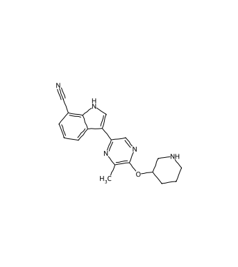 Cc1nc(-c2c[nH]c3c(C#N)cccc23)cnc1OC1CCCNC1